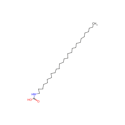 CCCCCCCCCCCCCCCCCCCCCCCCCCCCNC(=O)O